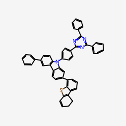 C1=Cc2sc3c(-c4ccc5c6cc(-c7ccccc7)ccc6n(-c6ccc(-c7nc(-c8ccccc8)nc(-c8ccccc8)n7)cc6)c5c4)cccc3c2CC1